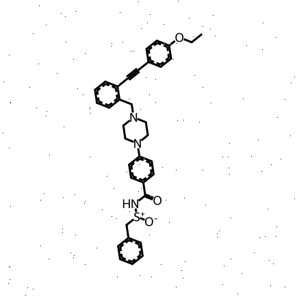 CCOc1ccc(C#Cc2ccccc2CN2CCN(c3ccc(C(=O)N[S+]([O-])Cc4ccccc4)cc3)CC2)cc1